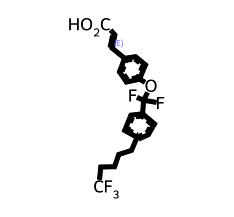 O=C(O)/C=C/c1ccc(OC(F)(F)c2ccc(CCCCC(F)(F)F)cc2)cc1